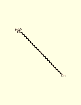 OCCCCCCCCCCCCCCCCCCCCCCCCCCCCCCCCCCCCCCCNC(=S)S